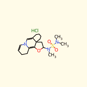 CN(C)S(=O)(=O)N(C)C1CC23CCCCC2=CN2C=CCCC2=C3O1.Cl